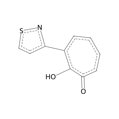 O=c1ccccc(-c2ccsn2)c1O